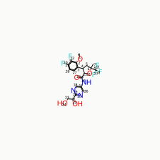 COc1c(C2CC(C)(C(F)(F)F)OC2C(=O)Nc2cnc(C(O)CO)nc2)ccc(F)c1F